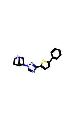 c1ccc(-c2ccc(-c3ncn(C4CN5CCC4CC5)n3)s2)cc1